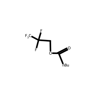 CCCCC(=O)OCC(F)(F)C(F)(F)F